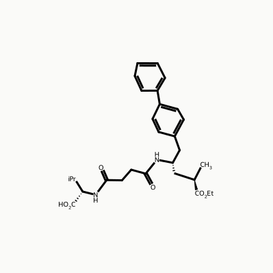 CCOC(=O)[C@H](C)C[C@@H](Cc1ccc(-c2ccccc2)cc1)NC(=O)CCC(=O)N[C@H](C(=O)O)C(C)C